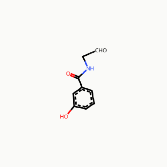 O=CCNC(=O)c1cccc(O)c1